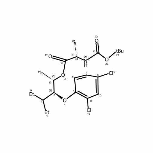 CCC(CC)[C@H](Oc1ccc(Cl)cc1Cl)[C@H](C)OC(=O)[C@H](C)NC(=O)OC(C)(C)C